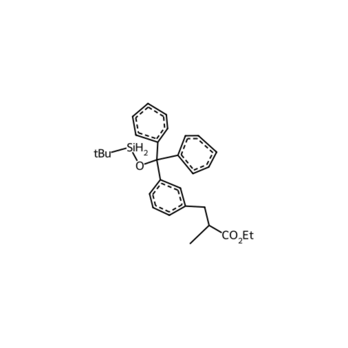 CCOC(=O)C(C)Cc1cccc(C(O[SiH2]C(C)(C)C)(c2ccccc2)c2ccccc2)c1